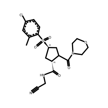 Cc1cc(Cl)ccc1S(=O)(=O)[C@H]1CC(C(=O)N2CCOCC2)[C@H](C(=O)NCC#N)C1